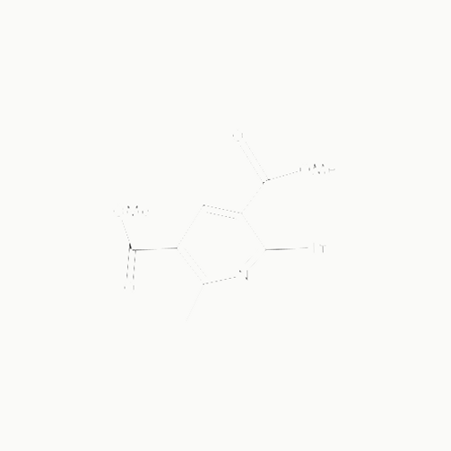 COC(=O)c1cc(C(=O)OC)c(C(C)C)nc1C